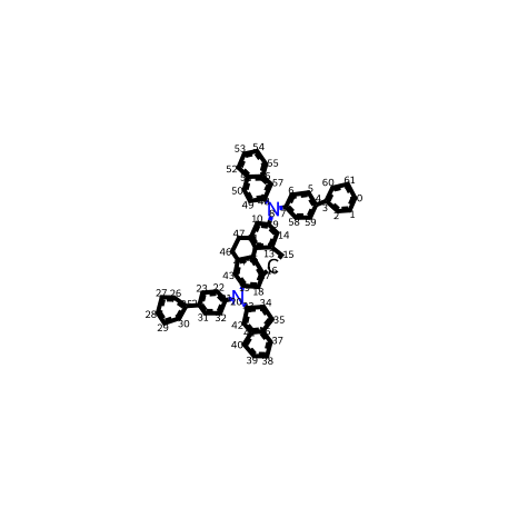 c1ccc(-c2ccc(N(c3cc4c5c(c3)CCc3cc(N(c6ccc(-c7ccccc7)cc6)c6ccc7ccccc7c6)cc(c3-5)CC4)c3ccc4ccccc4c3)cc2)cc1